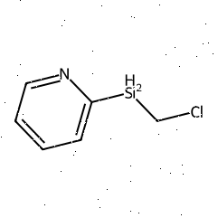 ClC[SiH2]c1ccccn1